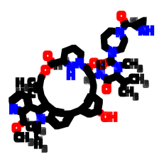 CCn1c(-c2cccnc2[C@H](C)OC)c2c3cc(ccc31)-c1cc(O)cc(c1)C[C@H](NC(=O)C(C(C)C)N(C)C(=O)N1CCCN(C(=O)[C@H]3CN3)CC1)C(=O)N1CCC[C@H](N1)C(=O)OCC(C)(C)C2